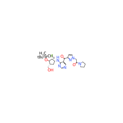 CC(C)(C)[Si](C)(C)O[C@@H]1[C@@H](CO)C[C@@H](Nc2ncncc2C(=O)c2ccn(CC(=O)N3CCCC3)n2)[C@H]1F